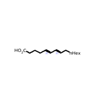 CCCCCCC/C=C/C=C/CCCC(=O)O